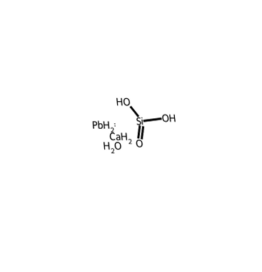 O.O=[Si](O)O.[CaH2].[PbH2]